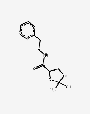 CC1(C)OC[C@H](C(=O)NCCc2ccccn2)O1